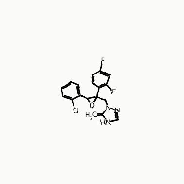 C=C1NC=NN1CC1(c2ccc(F)cc2F)OC1c1ccccc1Cl